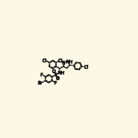 O=S(=O)(NC(C1=NNC(c2ccc(Cl)cc2)C1)c1ccc(Cl)cc1Cl)c1cc(F)c(Br)cc1F